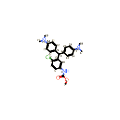 COC(=O)Nc1ccc(Cl)c(C(c2ccc(N(C)C)cc2)c2ccc(N(C)C)cc2)c1